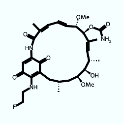 CO[C@H]1/C=C/C=C(/C)C(=O)NC2=CC(=O)C(NCCF)=C(C[C@@H](C)C[C@H](OC)[C@H](O)[C@@H](C)/C=C(\C)[C@@H]1OC(N)=O)C2=O